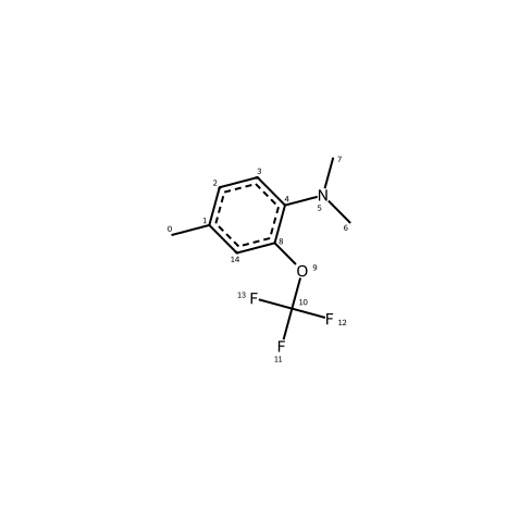 Cc1ccc(N(C)C)c(OC(F)(F)F)c1